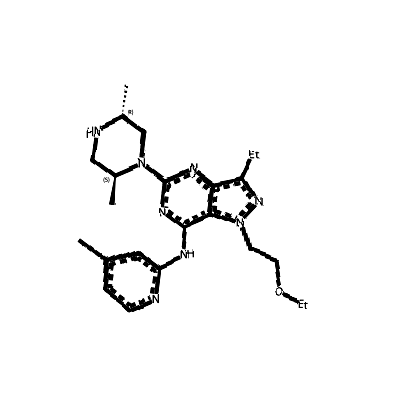 CCOCCn1nc(CC)c2nc(N3C[C@@H](C)NC[C@@H]3C)nc(Nc3cc(C)ccn3)c21